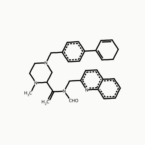 C=C(C1CN(Cc2ccc(C3=CCCC=C3)cc2)CCN1C)N(C=O)Cc1ccc2ccccc2n1